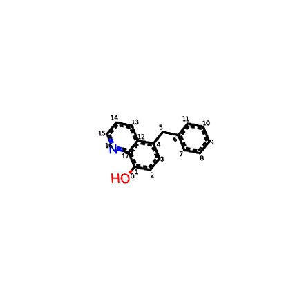 Oc1ccc(Cc2ccccc2)c2cccnc12